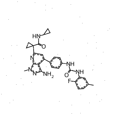 Cc1ccc(F)c(NC(=O)Nc2ccc(-c3cc(C4(C(=O)NC5CC5)CC4)nc4c3c(N)nn4C)cc2)c1